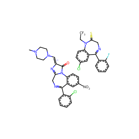 CN1CCN(/C=C2\N=C3CN=C(c4ccccc4Cl)c4cc([N+](=O)[O-])ccc4N3C2=O)CC1.Fc1ccccc1C1=NCC(=S)N(CC(F)(F)F)c2ccc(Cl)cc21